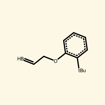 B=CCOc1ccccc1C(C)(C)C